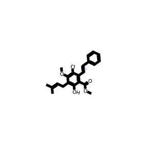 COC(=O)c1c(O)c(CC=C(C)C)c(OC)c(Cl)c1/C=C/c1ccccc1